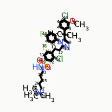 COc1cc(C(C)(C)c2cnc(CCc3c(F)cc(S(=O)(=O)NCCCCC[N+](C)(C)C)cc3Cl)n2-c2ccc(F)cc2)ccc1Cl